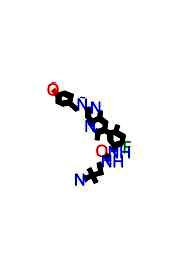 COc1ccc(CN(C)c2cc3nc(C)c(-c4cc(NC(=O)NCCC(C)(C)C#N)c(F)cc4C)cc3cn2)cc1